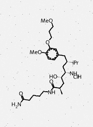 COCCCOc1cc(C[C@@H](C[C@H](N)[C@@H](O)C[C@@H](C)C(=O)NCCCCC(N)=O)C(C)C)ccc1OC.Cl